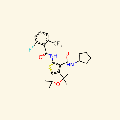 CC1(C)OC(C)(C)c2c1sc(NC(=O)c1c(F)cccc1C(F)(F)F)c2C(=O)NC1CCCC1